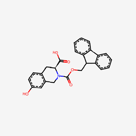 O=C(O)[C@@H]1Cc2ccc(O)cc2CN1C(=O)OCC1c2ccccc2-c2ccccc21